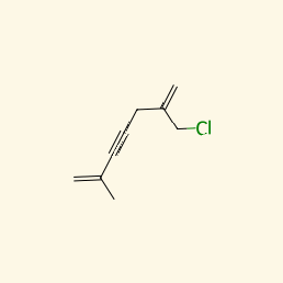 C=C(C)C#CCC(=C)CCl